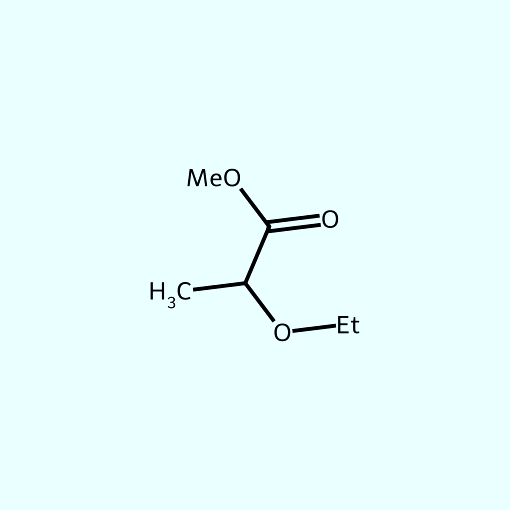 [CH2]COC(C)C(=O)OC